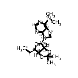 CC[C@H]1O[C@@H](n2cnc3c(N(C)C)ncnc32)[C@@H]2OC(C)(C)O[C@@H]21